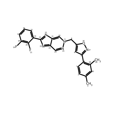 Cc1ccc(-c2cc(Cn3cc4nc(-c5cccc(F)c5F)nc-4cn3)on2)c(C)c1